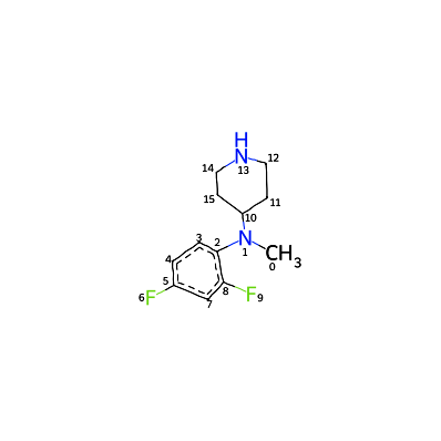 CN(c1ccc(F)cc1F)C1CCNCC1